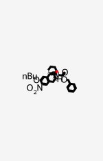 CCCCOc1cc2c(cc1[N+](=O)[O-])C[C@H]1C3CCCC[C@@]23CCN1C(=O)OCc1ccccc1